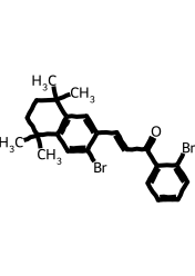 CC1(C)CCC(C)(C)c2cc(/C=C/C(=O)c3ccccc3Br)c(Br)cc21